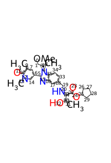 COC[C@H](C)n1c(-c2cc(C)c(=O)n(C)c2)nc2cc(CN[C@H](C(=O)OC3CCCC3)[C@H](C)O)ccc21